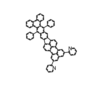 c1ccc(-c2c3cc4c(cc3c(-c3ccccc3)c3c5ccccc5c5ccccc5c23)-c2ccc3c5cc(-c6ccccn6)cc6cc(-c7ccccn7)cc(c7ccc-4c2c73)c65)cc1